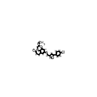 COC(=O)CN1C(=O)CCc2cc(SCc3cc(-c4ccc(Cl)cc4)on3)ccc21